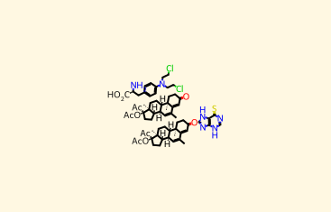 CC(=O)O[C@]1(C(C)=O)CC[C@H]2[C@@H]3C=C(C)C4=CC(=O)CC[C@]4(C)[C@H]3CC[C@@]21C.CC(=O)O[C@]1(C(C)=O)CC[C@H]2[C@@H]3C=C(C)C4=CC(=O)CC[C@]4(C)[C@H]3CC[C@@]21C.N[C@@H](Cc1ccc(N(CCCl)CCCl)cc1)C(=O)O.S=c1nc[nH]c2nc[nH]c12